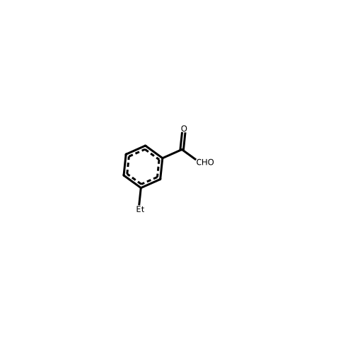 CCc1cccc(C(=O)C=O)c1